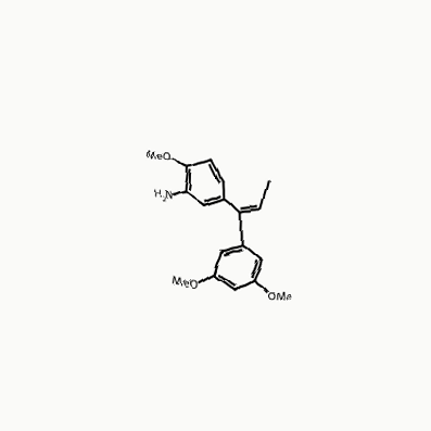 C/C=C(/c1cc(OC)cc(OC)c1)c1ccc(OC)c(N)c1